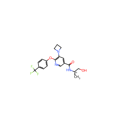 C[C@H](CO)NC(=O)c1cnc(Oc2ccc(C(F)(F)F)cc2)c(N2CCC2)c1